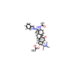 CC(C)C(=O)N[C@H]1CCC23C[C@]24C(=O)C[C@]2(C)[C@@H]([C@H](C)N(C)C)[C@H](OC(=O)C(C)(C)C)C[C@@]2(C)[C@@H]4CC[C@H]3[C@]1(C)CNCc1ccccc1